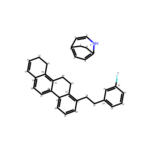 C1=CC2=CC=C(CC2)N1.Fc1cccc(CCc2cccc3c2CCc2c-3ccc3c2CCC=C3)c1